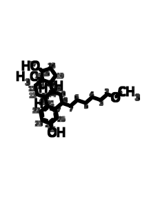 COCCCCCCC1C[C@@H]2[C@H](CC[C@]3(C)C(O)CC[C@@H]23)c2ccc(O)cc21